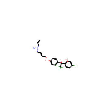 C=CCN(C)CC=CCOc1ccc(C(O)(c2ccc(Br)cc2)C(F)(F)F)cc1